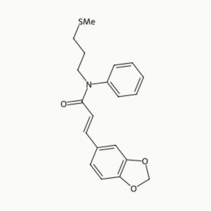 CSCCCN(C(=O)C=Cc1ccc2c(c1)OCO2)c1ccccc1